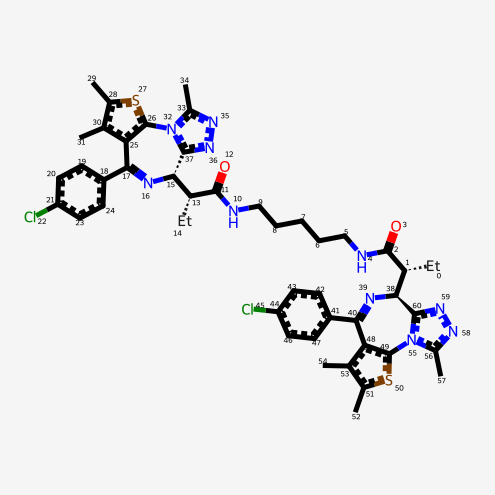 CC[C@@H](C(=O)NCCCCCNC(=O)[C@H](CC)[C@@H]1N=C(c2ccc(Cl)cc2)c2c(sc(C)c2C)-n2c(C)nnc21)[C@@H]1N=C(c2ccc(Cl)cc2)c2c(sc(C)c2C)-n2c(C)nnc21